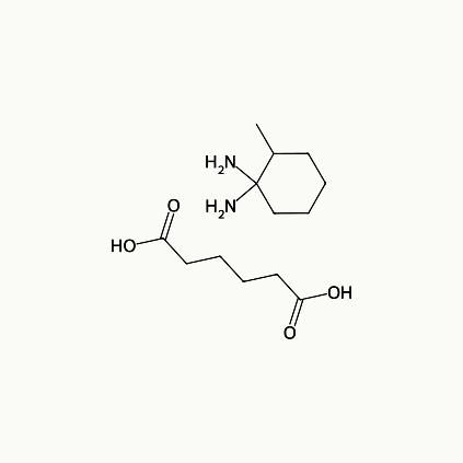 CC1CCCCC1(N)N.O=C(O)CCCCC(=O)O